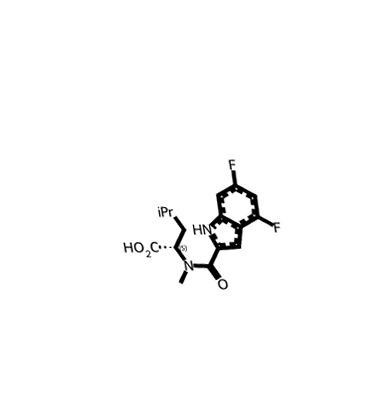 CC(C)C[C@@H](C(=O)O)N(C)C(=O)c1cc2c(F)cc(F)cc2[nH]1